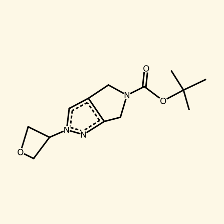 CC(C)(C)OC(=O)N1Cc2cn(C3COC3)nc2C1